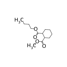 CCCCOC(=O)C1CCCCC1C(=O)OC